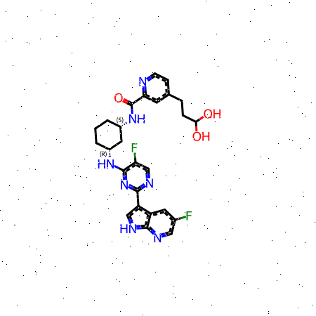 O=C(N[C@H]1CCC[C@@H](Nc2nc(-c3c[nH]c4ncc(F)cc34)ncc2F)C1)c1cc(CCC(O)O)ccn1